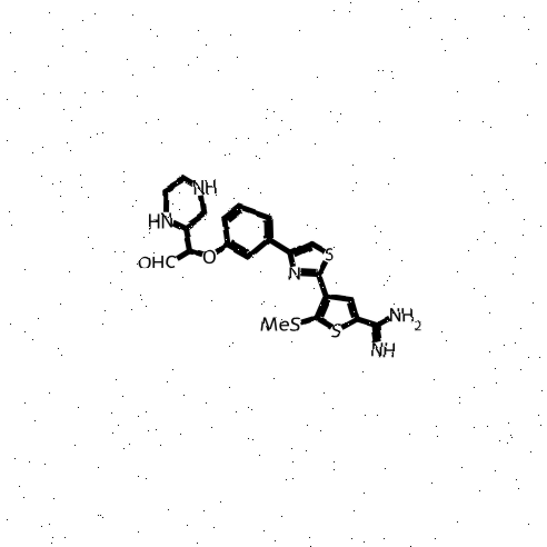 CSc1sc(C(=N)N)cc1-c1nc(-c2cccc(OC(C=O)C3CNCCN3)c2)cs1